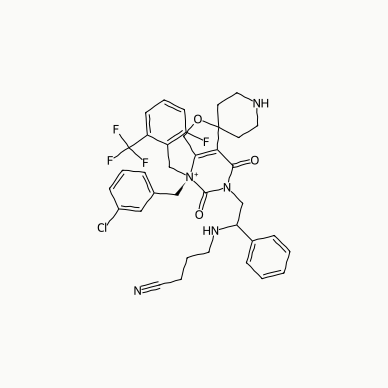 N#CCCCNC(CN1C(=O)C2=C(COC23CCNCC3)[N@@+](Cc2cccc(Cl)c2)(Cc2c(F)cccc2C(F)(F)F)C1=O)c1ccccc1